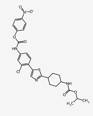 CC(C)OC(=O)NC1CCC(c2ncc(-c3ccc(NC(=O)Oc4ccc([N+](=O)[O-])cc4)cc3Cl)s2)CC1